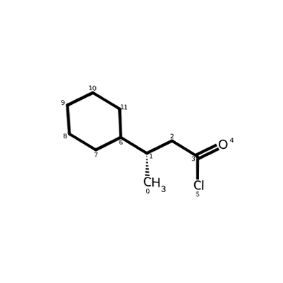 C[C@@H](CC(=O)Cl)C1CCCCC1